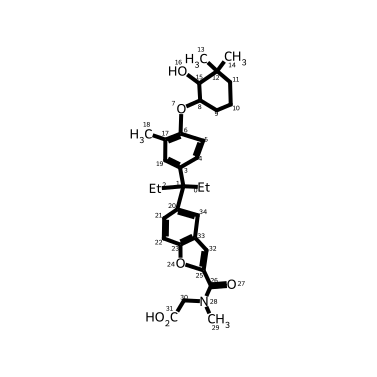 CCC(CC)(c1ccc(OC2CCCC(C)(C)C2O)c(C)c1)c1ccc2oc(C(=O)N(C)CC(=O)O)cc2c1